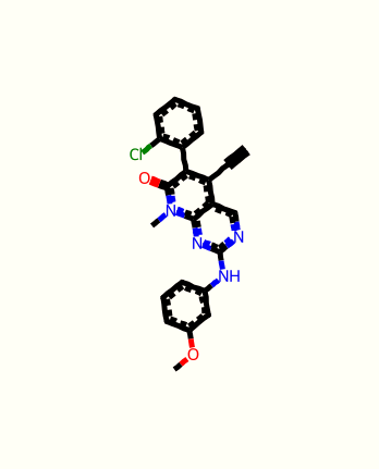 C#Cc1c(-c2ccccc2Cl)c(=O)n(C)c2nc(Nc3cccc(OC)c3)ncc12